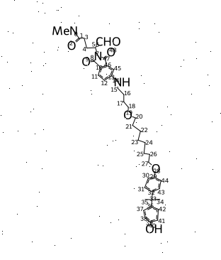 CNC(=O)CCC(C=O)N1C(=O)c2ccc(NCCCCOCCCCCCCCOc3ccc(C(C)(C)c4ccc(O)cc4)cc3)cc2C1=O